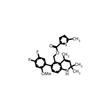 COc1cc(F)c(F)cc1-c1ccc2c(c1COC(=O)c1ccc(C)s1)C(C)=CC(C)(C)N2